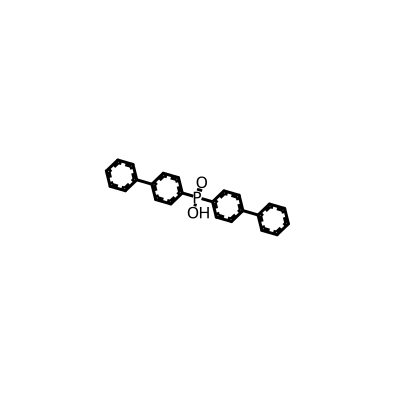 O=P(O)(c1ccc(-c2ccccc2)cc1)c1ccc(-c2ccccc2)cc1